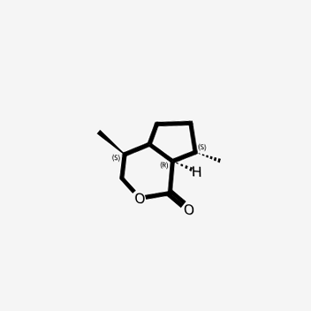 C[C@@H]1COC(=O)[C@H]2C1CC[C@@H]2C